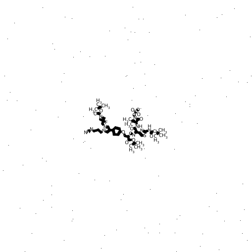 CC(C)(C)OC(=O)Nc1nc(/C(=N/OC(COc2ccc(-c3cn(CCCN=[N+]=[N-])[n+](CC4(F)CN(C(=O)OC(C)(C)C)C4)c3)cc2)C(=O)OC(C)(C)C)C(=O)NC2C(=O)N(OS(=O)(=O)[O-])C2(C)C)cs1